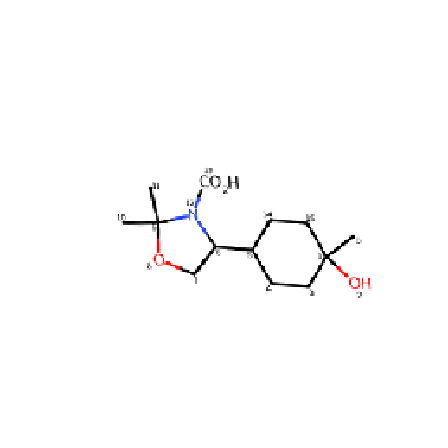 CC1(O)CCC(C2COC(C)(C)N2C(=O)O)CC1